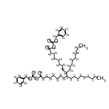 CCCCCCCCCC(CCCCCCCC(=O)OC(=O)OCc1ccccc1)C(CCCCCCCCC)CCCCCCCC(=O)OC(=O)OCc1ccccc1